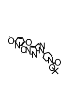 COc1ccc(Oc2ncnc3c2cnn3C2CCN(C(=O)OC(C)(C)C)CC2)c(OC)n1